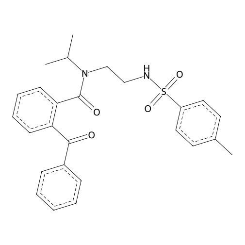 Cc1ccc(S(=O)(=O)NCCN(C(=O)c2ccccc2C(=O)c2ccccc2)C(C)C)cc1